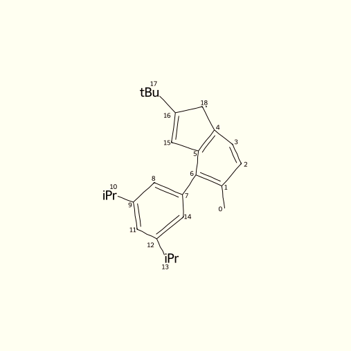 Cc1ccc2c(c1-c1cc(C(C)C)cc(C(C)C)c1)C=C(C(C)(C)C)[CH]2